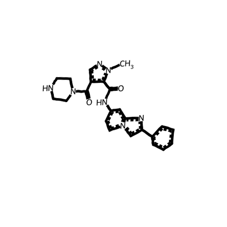 Cn1ncc(C(=O)N2CCNCC2)c1C(=O)Nc1ccn2cc(-c3ccccc3)nc2c1